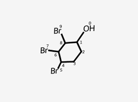 OC1CCC(Br)C(Br)C1Br